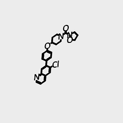 O=C(N1CCC(Oc2ccc(-c3cc4ncccc4cc3Cl)cc2)CC1)N1CCCO1